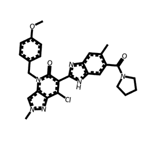 COc1ccc(Cn2c(=O)c(-c3nc4cc(C)c(C(=O)N5CCCC5)cc4[nH]3)c(Cl)c3nn(C)cc32)cc1